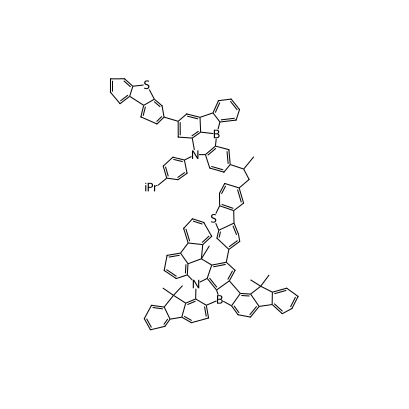 CC(C)c1ccc(N2c3ccc(C(C)Cc4ccc5sc6cc(-c7cc8c9c%10c7C7(C)c%11ccccc%11-c%11cccc(c%117)N%10c7c(ccc%10c7C(C)(C)c7ccccc7-%10)B9c7ccc9c(c7-8)C(C)(C)c7ccccc7-9)ccc6c5c4)cc3B3c4ccccc4-c4cc(-c5ccc6c(c5)sc5ccccc56)cc2c43)cc1